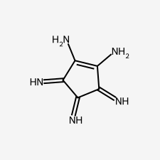 N=c1c(N)c(N)c(=N)c1=N